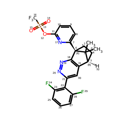 CC1(C)[C@H]2CC[C@@]1(c1cccc(OS(=O)(=O)C(F)(F)F)n1)c1nnc(-c3c(F)cccc3F)cc12